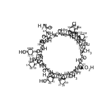 CCCC[C@H]1C(=O)N(C)CC(=O)N[C@@H](CC(=O)O)C(=O)N[C@@H](C(C)C)C(=O)N(C)[C@@H](Cc2ccccc2)C(=O)N[C@@H](Cc2ccc(O)cc2)C(=O)N(C)CC(=O)N[C@@H](Cc2c[nH]c3ccccc23)C(=O)N[C@@H](CCc2ccc(O)cc2)C(=O)N[C@@H](CC(C)C)C(=O)N[C@H](C(=O)NCC(N)=O)CSCC(=O)N[C@@H](Cc2cc(F)c(F)c(Cl)c2)C(=O)N(C)[C@@H](Cc2ccccc2)C(=O)N1C